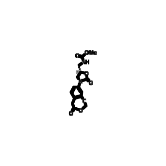 COC(=O)NC[C@H]1CN(c2ccc3c(c2)CCOC(=O)C3)C(=O)O1